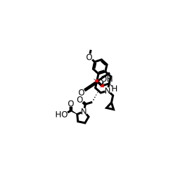 COc1ccc2c(c1)C13CCN(CC4CC4)[C@H](C2)[C@]1(O)C[C@H](CC(=O)N1CCC[C@H]1C(=O)O)C(=O)C3